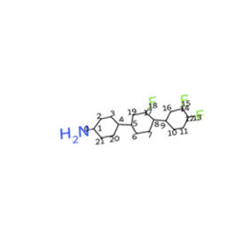 NC1CCC(C2CCC(C3CCC(F)C(F)C3)C(F)C2)CC1